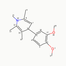 COc1ccc(C2C=C(C)N(C)C(C)=C2C)cc1OC